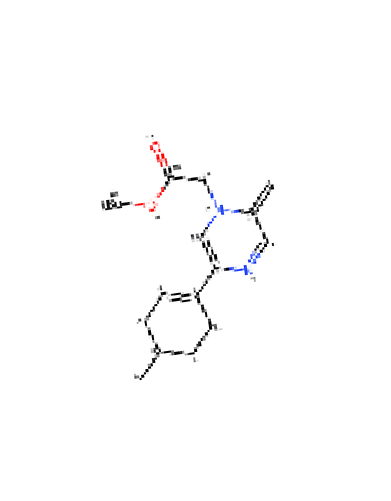 C=C1C=NC(C2=CCC(C)CC2)=CN1CC(=O)OC(C)(C)C